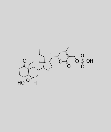 CCC[C@@]1(C)C(C2C[C@H]3O[C@]34[C@@H](O)C=CC(=O)[C@]4(CC)C2)CCC1[C@H](C)C1CC(C)=C(COS(=O)(=O)O)C(=O)O1